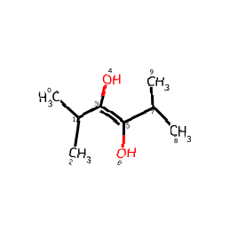 CC(C)C(O)=C(O)C(C)C